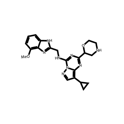 COc1cccc2[nH]c(CNc3nc(C4CNCCO4)nc4c(C5CC5)cnn34)nc12